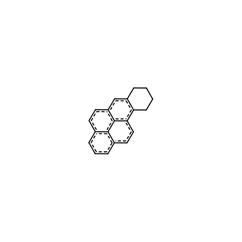 c1cc2ccc3cc4c(c5ccc(c1)c2c35)CCCC4